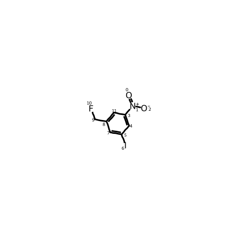 O=[N+]([O-])c1cc(I)cc(CF)c1